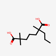 CCCC(C)(CCCC(C)(C)C(=O)O)C(=O)O